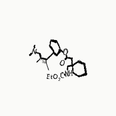 CCOC(=O)NCC1(CC(=O)Oc2cccc([C@@H](I)[C@@H](C)CN(C)C)c2)CCCCC1